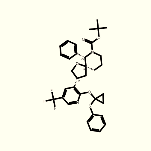 CC(C)(C)OC(=O)N1CCC[C@@]2(C[C@H](c3cc(C(F)(F)F)cnc3OC3(Sc4ccccc4)CC3)CO2)[C@@H]1c1ccccc1